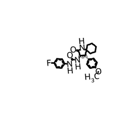 COc1ccc([C@@H]2[C@@H](NC(=O)Nc3ccc(F)cc3)C(=O)NC23CCCCC3)cc1